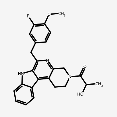 COc1ccc(Cc2nc3c(c4c2[nH]c2ccccc24)CCN(C(=O)C(C)O)C3)cc1F